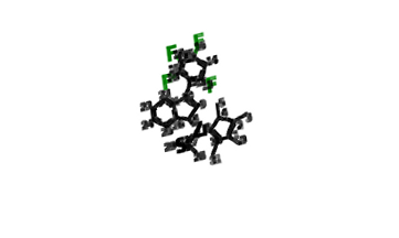 CC1=C(C)C(C)[C]([Zr]([CH]2C=C(c3c(F)cc(F)c(F)c3F)c3ccccc32)=[Si](C)C)=C1C